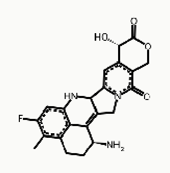 Cc1c(F)cc2c3c1CC[C@H](N)C3=C1Cn3c(cc4c(c3=O)COC(=O)[C@H]4O)C1N2